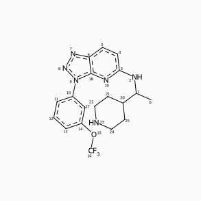 CC(Nc1ccc2nnn(-c3cccc(OC(F)(F)F)c3)c2n1)C1CCNCC1